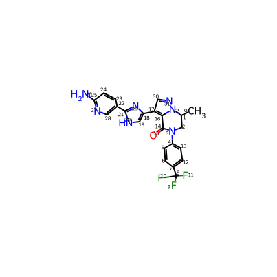 CC1CN(c2ccc(C(F)(F)F)cc2)C(=O)c2c(-c3c[nH]c(-c4ccc(N)nc4)n3)cnn21